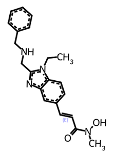 CCn1c(CNCc2ccccc2)nc2cc(/C=C/C(=O)N(C)O)ccc21